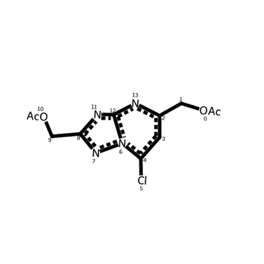 CC(=O)OCc1cc(Cl)n2nc(COC(C)=O)nc2n1